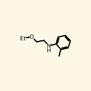 CCOCCNc1ccccc1C